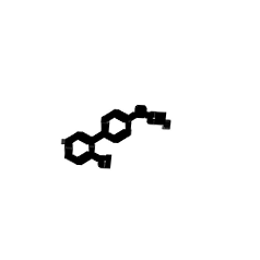 COc1ccc(-c2c[c]ccc2Cl)cc1